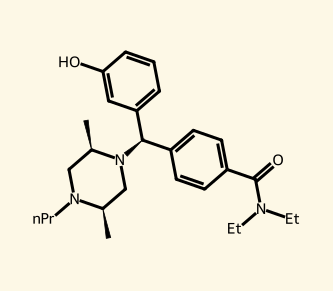 CCCN1C[C@@H](C)N([C@H](c2ccc(C(=O)N(CC)CC)cc2)c2cccc(O)c2)C[C@H]1C